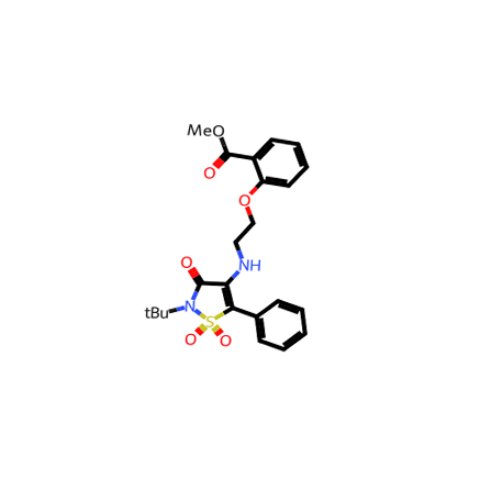 COC(=O)c1ccccc1OCCNC1=C(c2ccccc2)S(=O)(=O)N(C(C)(C)C)C1=O